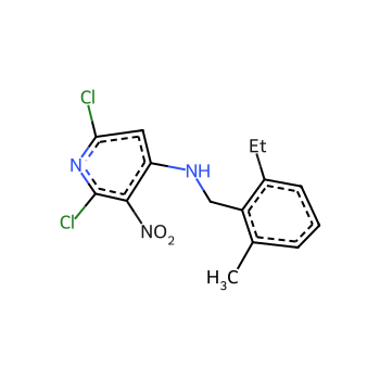 CCc1cccc(C)c1CNc1cc(Cl)nc(Cl)c1[N+](=O)[O-]